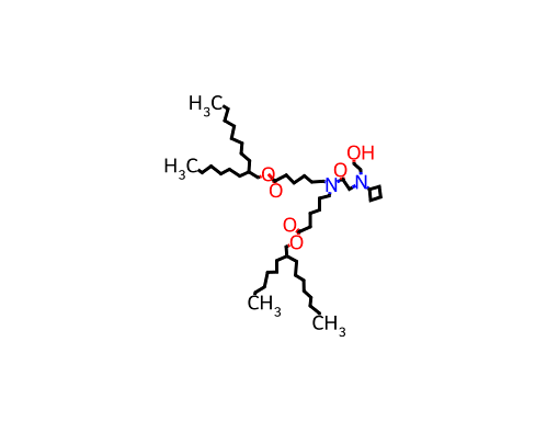 CCCCCCCCC(CCCCCC)COC(=O)CCCCCN(CCCCCC(=O)OCC(CCCCCC)CCCCCCCC)C(=O)CN(CCO)C1CCC1